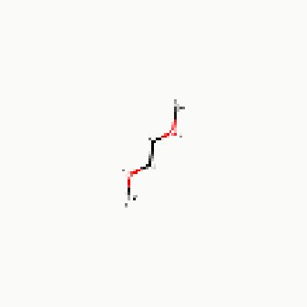 CC(C)OCCOC(C)C